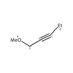 CCC#C[CH]OC